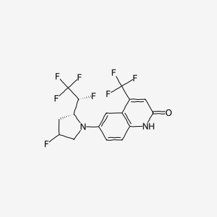 O=c1cc(C(F)(F)F)c2cc(N3CC(F)C[C@@H]3[C@@H](F)C(F)(F)F)ccc2[nH]1